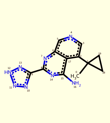 CC1(c2cncc3nc(-c4nn[nH]n4)nc(N)c23)CC1